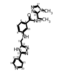 CC(NC(=O)c1cccc(NCc2nnc(-c3ccncc3)[nH]2)c1)c1nncn1C